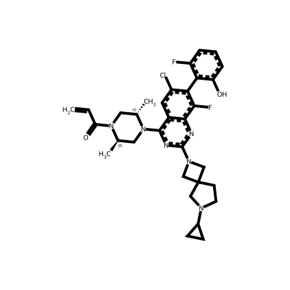 C=CC(=O)N1C[C@H](C)N(c2nc(N3CC4(CCN(C5CC5)C4)C3)nc3c(F)c(-c4c(O)cccc4F)c(Cl)cc23)C[C@H]1C